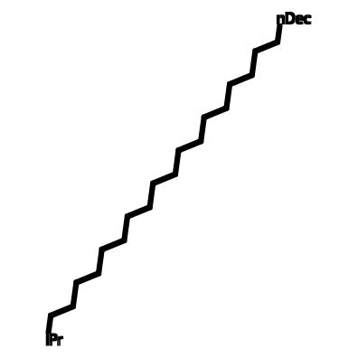 [CH2]CCCCCCCCCCCCCCCCCCCCCCCCCCCC(C)C